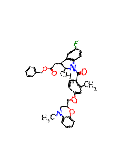 Cc1cc(OC[C@@H]2CN(C)c3ccccc3O2)ccc1C(=O)N1c2ccc(F)cc2C(CC(=O)OCc2ccccc2)C1C